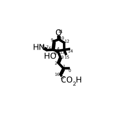 CC(/C=C/C1(O)C(C=N)=CC(=O)CC1(C)C)=C\C(=O)O